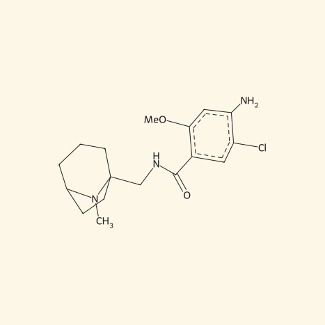 COc1cc(N)c(Cl)cc1C(=O)NCC12CCCC(CC1)N2C